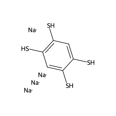 Sc1cc(S)c(S)cc1S.[Na].[Na].[Na].[Na]